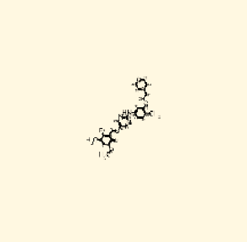 COc1cc(C)c(F)c(COc2cnc(Nc3ccc(C)c(OCCN4CCOCC4)c3)nc2)c1F